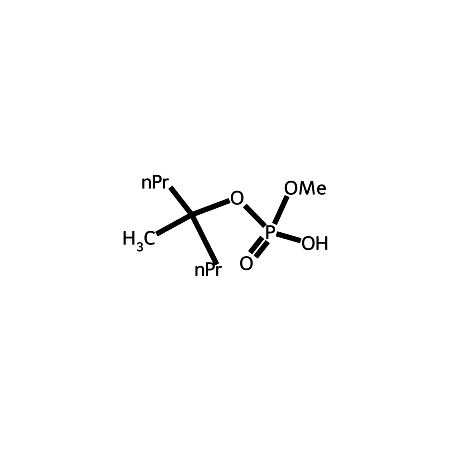 CCCC(C)(CCC)OP(=O)(O)OC